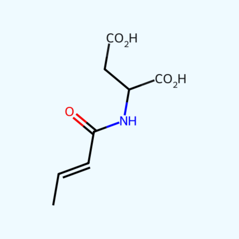 C/C=C/C(=O)NC(CC(=O)O)C(=O)O